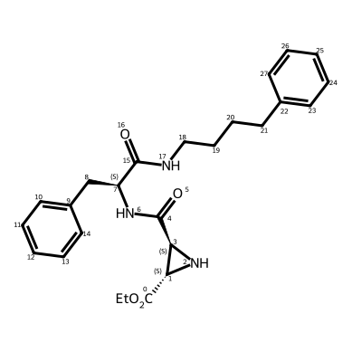 CCOC(=O)[C@H]1N[C@@H]1C(=O)N[C@@H](Cc1ccccc1)C(=O)NCCCCc1ccccc1